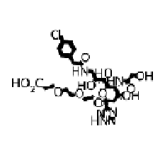 O=C(O)CCOCCOCCO[C@]1(c2nn[nH]n2)C[C@H](O)[C@@H](NC(=O)CO)[C@H]([C@H](O)[C@H](O)CNC(=O)Cc2ccc(Cl)cc2)O1